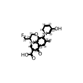 O=C(O)c1cn2c3c(c(N4C=C(O)C=CC4)c(F)cc3c1=O)OCC2CF